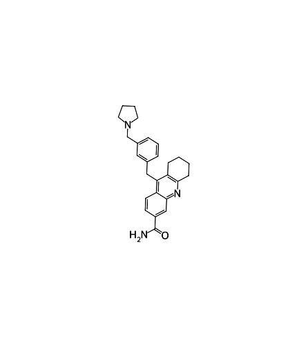 NC(=O)c1ccc2c(Cc3cccc(CN4CCCC4)c3)c3c(nc2c1)CCCC3